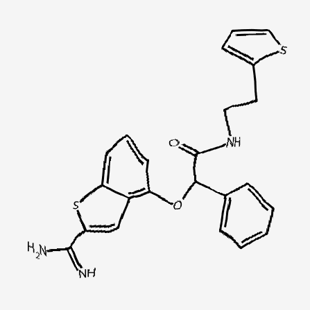 N=C(N)c1cc2c(OC(C(=O)NCCc3cccs3)c3ccccc3)cccc2s1